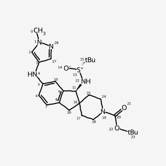 Cn1cc(Nc2ccc3c(c2)[C@@H](N[S@+]([O-])C(C)(C)C)C2(CCN(C(=O)OC(C)(C)C)CC2)C3)cn1